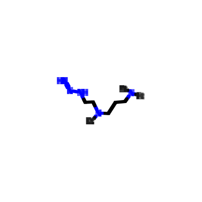 CCN(CC)CCCN(CC)CCNN=N